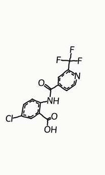 O=C(Nc1ccc(Cl)cc1C(=O)O)c1ccnc(C(F)(F)F)c1